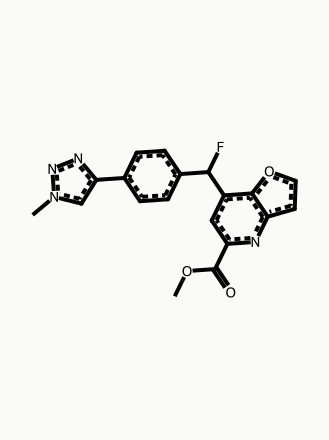 COC(=O)c1cc(C(F)c2ccc(-c3cn(C)nn3)cc2)c2occc2n1